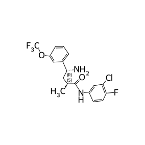 C[C@@H](C[C@@H](N)c1cccc(OC(F)(F)F)c1)C(=O)Nc1ccc(F)c(Cl)c1